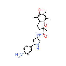 Cc1c(C)c2c(c(C)c1O)CCC(C)(C(=O)NC1CNC(c3ccc(N)cc3)C1)O2